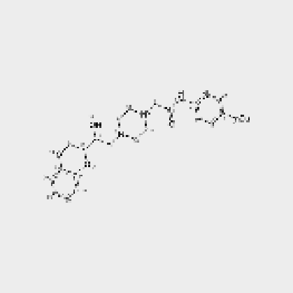 CCCCc1ccc(NC(=O)CN2CCN(CC(O)C3COc4ccccc4O3)CC2)cc1